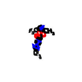 CC(OCCC(=O)N1CCN(c2ncc(C(F)(F)F)cn2)CC1)n1nccc(C(F)(F)F)c1=O